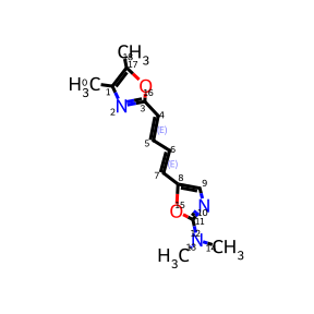 Cc1nc(/C=C/C=C/c2cnc(N(C)C)o2)oc1C